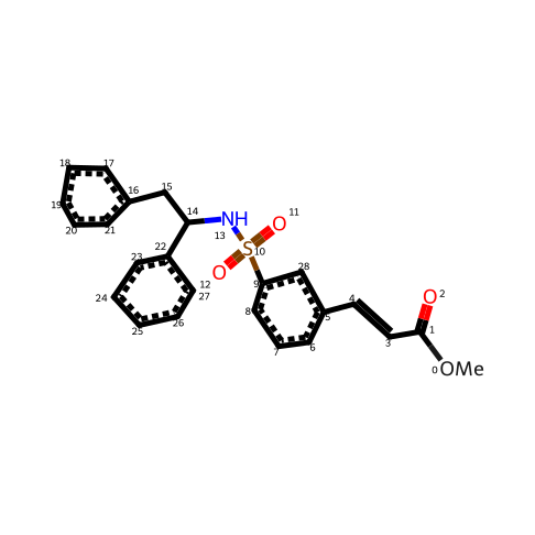 COC(=O)C=Cc1cccc(S(=O)(=O)NC(Cc2ccccc2)c2ccccc2)c1